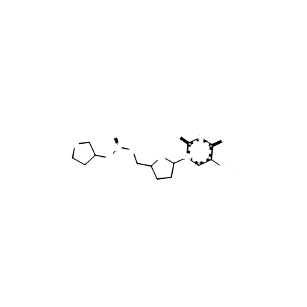 Cc1cn(C2CCC(CO[PH](=O)OC3CCOC3)O2)c(=O)[nH]c1=O